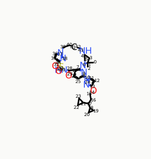 CC1(C)CC2CN1c1nc(-n3ccc(OCCC(C4CC4)C4CC4)n3)ccc1C(=O)NS(=O)(=O)c1ccn(n1)CCCCN2